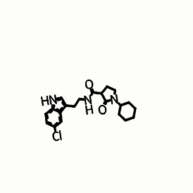 O=C(NCCc1c[nH]c2ccc(Cl)cc12)C1CCN(C2CCCCC2)C1=O